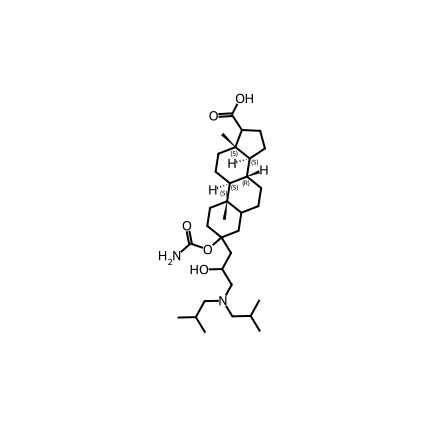 CC(C)CN(CC(C)C)CC(O)CC1(OC(N)=O)CC[C@@]2(C)C(CC[C@@H]3[C@@H]2CC[C@]2(C)C(C(=O)O)CC[C@@H]32)C1